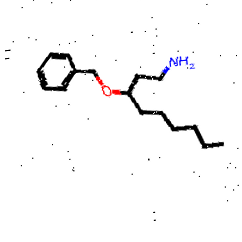 CCCCCCC(CCN)OCc1ccccc1